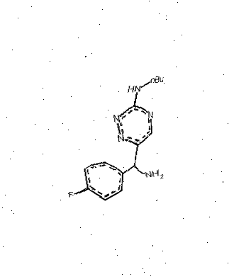 CCCCNc1ncc(C(N)c2ccc(F)cc2)nn1